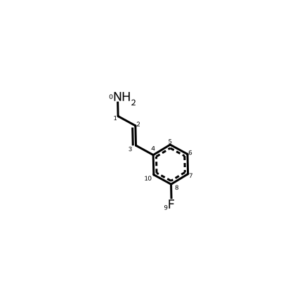 NC/C=C/c1cccc(F)c1